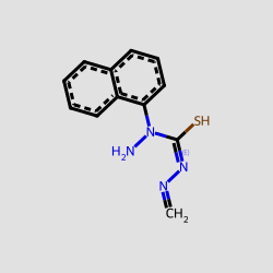 C=N/N=C(/S)N(N)c1cccc2ccccc12